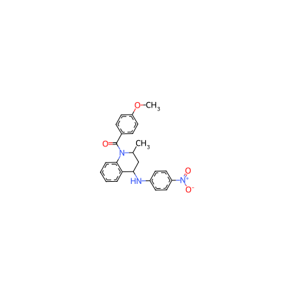 COc1ccc(C(=O)N2c3ccccc3C(Nc3ccc([N+](=O)[O-])cc3)CC2C)cc1